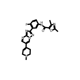 Cc1nc(C)c(C(=O)Nc2ccc(F)c(-c3nc4ncc(C5=CCN(C)CC5)cn4n3)c2)o1